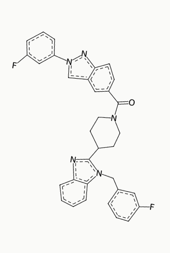 O=C(c1ccc2nn(-c3cccc(F)c3)cc2c1)N1CCC(c2nc3ccccc3n2Cc2cccc(F)c2)CC1